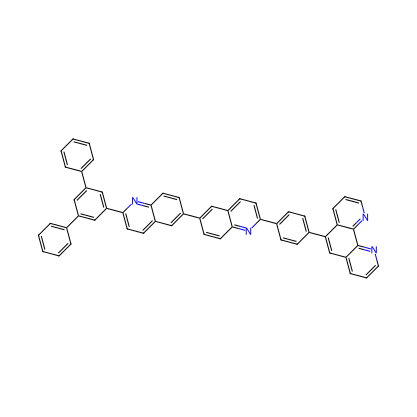 c1ccc(-c2cc(-c3ccccc3)cc(-c3ccc4cc(-c5ccc6nc(-c7ccc(-c8cc9cccnc9c9ncccc89)cc7)ccc6c5)ccc4n3)c2)cc1